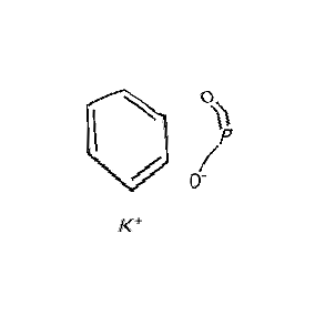 O=P[O-].[K+].c1ccccc1